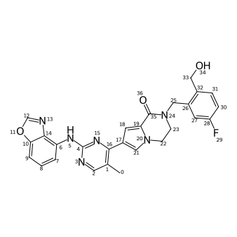 Cc1cnc(Nc2cccc3ocnc23)nc1-c1cc2n(c1)CCN(Cc1cc(F)ccc1CO)C2=O